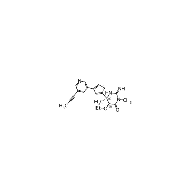 CC#Cc1cncc(-c2csc([C@@]3(C)NC(=N)N(C)C(=O)[C@H]3OCC)c2)c1